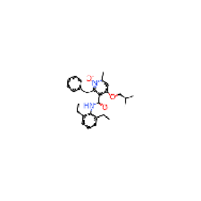 CCc1cccc(CC)c1NC(=O)c1c(OCC(C)C)cc(C)[n+]([O-])c1Cc1ccccc1